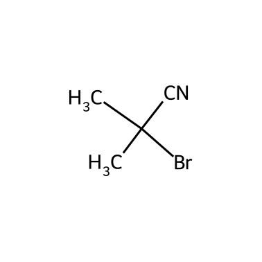 CC(C)(Br)C#N